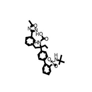 CCC(Cc1cccc(-c2noc(C)n2)c1)(NC(=O)O)c1ccc(-c2ccccc2S(=O)(=O)NC(C)(C)C)cc1